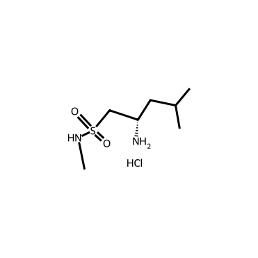 CNS(=O)(=O)C[C@@H](N)CC(C)C.Cl